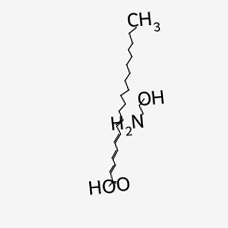 CCCCCCCCCCCCCC=CC=CC=CC=CC(=O)O.NCCO